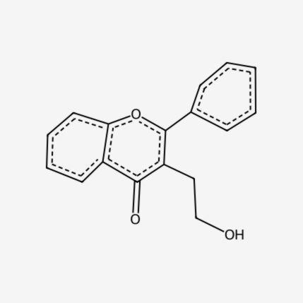 O=c1c(CCO)c(-c2ccccc2)oc2ccccc12